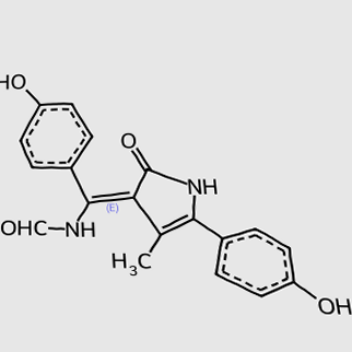 CC1=C(c2ccc(O)cc2)NC(=O)/C1=C(/NC=O)c1ccc(O)cc1